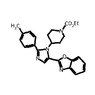 CCOC(=O)N1CCC(n2c(-c3nc4ccccc4o3)cnc2-c2ccc(C)cc2)CC1